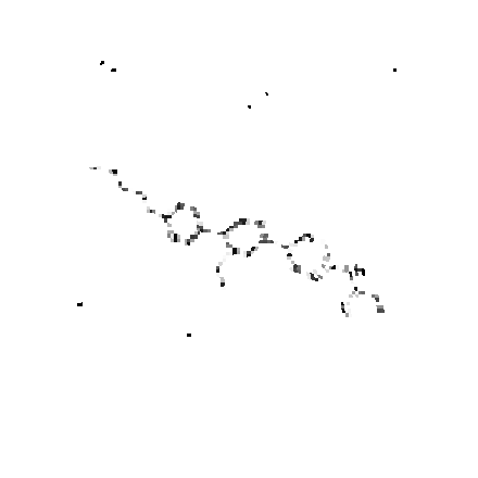 C=CC(=O)Nc1ccc(-c2ccc(-c3ccc(CCCCC)cc3)c(CC)c2)cc1